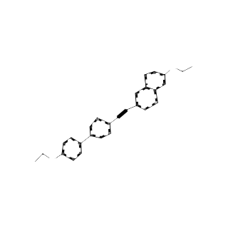 CCOc1ccc(-c2ccc(C#Cc3ccc4cc(OCC)ccc4c3)cc2)cc1